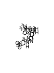 [2H]C1(Nc2ncc3cc(C([2H])([2H])[2H])c(=O)n([C@H]4CCC[C@@]4(O)C([2H])([2H])[2H])c3n2)CCN(S(C)(=O)=O)CC1